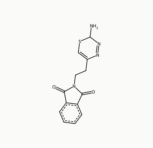 NC1N=NC(CCN2C(=O)c3ccccc3C2=O)=CS1